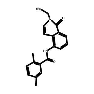 Cc1ccc(C)c(C(=O)Nc2cccc3c(=O)n(CC(C)(C)C)ccc23)c1